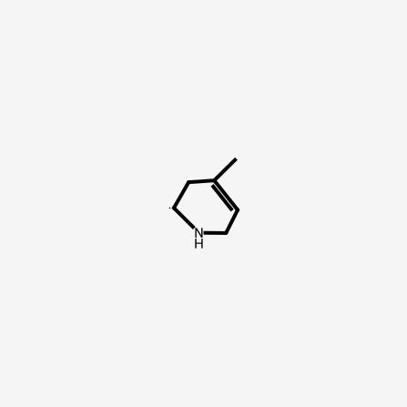 CC1=CCN[CH]C1